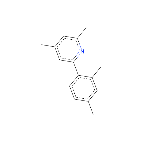 Cc1cc(C)nc(-c2ccc(C)cc2C)c1